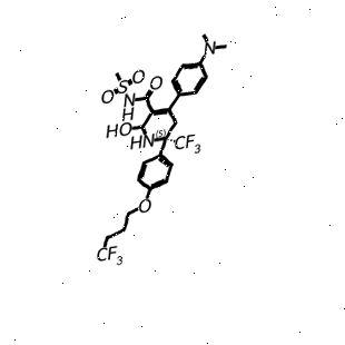 CN(C)c1ccc(C2=C(C(=O)NS(C)(=O)=O)C(O)N[C@@](c3ccc(OCCCC(F)(F)F)cc3)(C(F)(F)F)C2)cc1